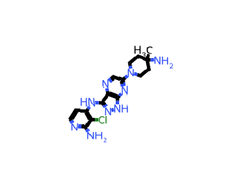 CC1(N)CCN(c2cnc3c(Nc4ccnc(N)c4Cl)n[nH]c3n2)CC1